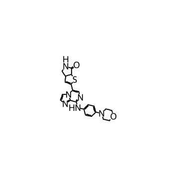 O=C1NCC2C=C(c3cnc(Nc4ccc(N5CCOCC5)cc4)c4nccn34)SC12